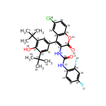 CC(C)(C)c1cc(-c2c(NC(=O)Nc3ccc(F)cc3F)c(=O)oc3ccc(Cl)cc23)cc(C(C)(C)C)c1O